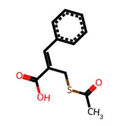 CC(=O)SC/C(=C\c1ccccc1)C(=O)O